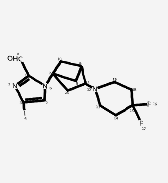 O=Cc1nc(I)cn1C12CC(C1)C(N1CCC(F)(F)CC1)C2